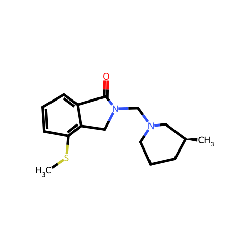 CSc1cccc2c1CN(CN1CCC[C@H](C)C1)C2=O